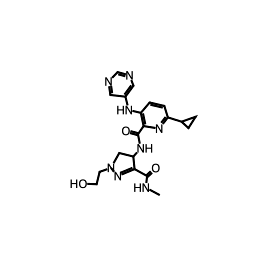 CNC(=O)C1=NN(CCO)CC1NC(=O)c1nc(C2CC2)ccc1Nc1cncnc1